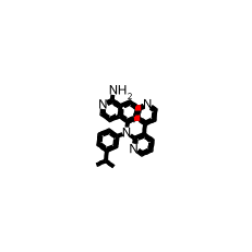 Cc1ccc2c(N)nccc2c1N(c1cccc(C(C)C)c1)c1ncccc1-c1ccncn1